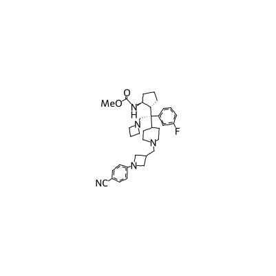 COC(=O)N[C@H]1CCC[C@@H]1[C@@](CN1CCC1)(c1cccc(F)c1)C1CCN(CC2CN(c3ccc(C#N)cc3)C2)CC1